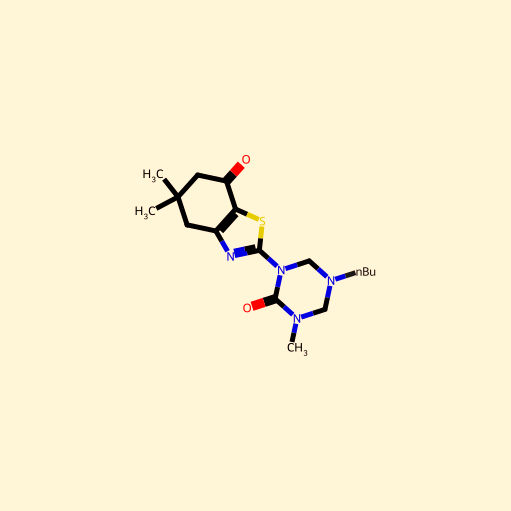 CCCCN1CN(C)C(=O)N(c2nc3c(s2)C(=O)CC(C)(C)C3)C1